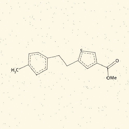 COC(=O)c1csc(CCc2ccc(C)cc2)c1